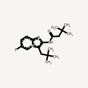 CC(C)(C)CC(=O)Nc1nc2ccc(F)cn2c1CC(C)(C)C